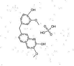 COc1cc(Cc2ccc3cc(OC)c(O)nc3c2)ccc1O.O=S(=O)(O)O